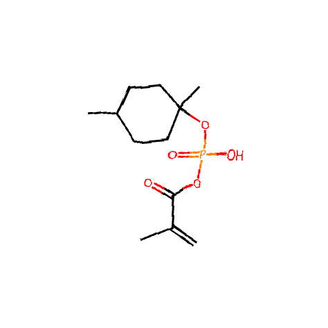 C=C(C)C(=O)OP(=O)(O)OC1(C)CCC(C)CC1